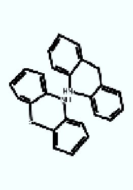 c1ccc2c(c1)Cc1ccccc1N2.c1ccc2c(c1)Nc1ccccc1S2